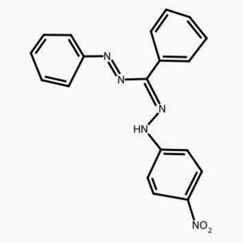 O=[N+]([O-])c1ccc(NN=C(N=Nc2ccccc2)c2ccccc2)cc1